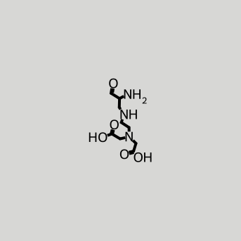 NC(C=O)CNCCN(CC(=O)O)CC(=O)O